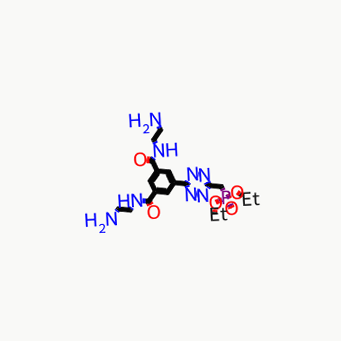 CCOP(=O)(Cc1nnc(-c2cc(C(=O)NCCN)cc(C(=O)NCCN)c2)nn1)OCC